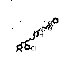 Cc1ccc(CC(CCCCc2ccc(CNCCCP(C)(=O)Oc3ccccc3)cc2)c2cccc(Cl)c2)cc1C